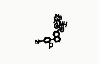 COc1cc(C#N)ccc1-c1cccc2cc(S(=O)(=O)Nc3ncns3)ccc12